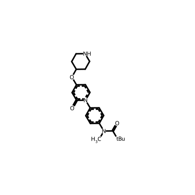 CN(C(=O)C(C)(C)C)c1ccc(-n2ccc(OC3CCNCC3)cc2=O)cc1